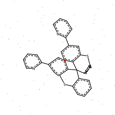 c1ccc(-c2ccc3c(c2)Sc2ccccc2C32c3ccccc3Sc3cc(-c4ccccn4)ccc32)nc1